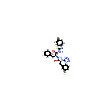 O=C(C=Cc1cc(Cl)ccc1-n1cnnn1)NC(Cc1ccccc1)C(=O)Nc1nc2ccc(F)cc2s1